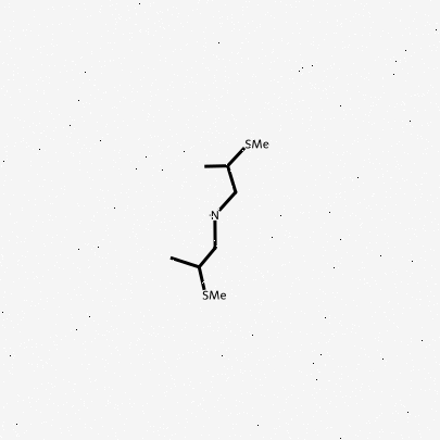 CSC(C)C[N]CC(C)SC